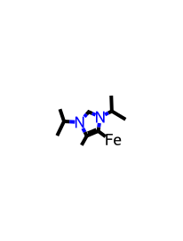 CC1=[C]([Fe])N(C(C)C)CN1C(C)C